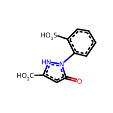 O=C(O)c1cc(=O)n(-c2ccccc2S(=O)(=O)O)[nH]1